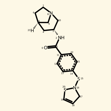 O=C(N[C@@H]1C[C@H]2CCN(C2)C1)c1ccc(SN2CC=CS2)cc1